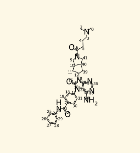 CN(C)CC=CC(=O)N1CC2CC(n3c(=O)n(-c4ccc(C(=O)Nc5ccccc5)cc4)c4c(N)ncnc43)CC2C1